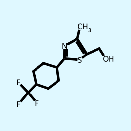 Cc1nc(C2CCC(C(F)(F)F)CC2)sc1CO